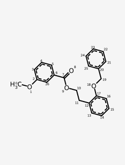 COc1cccc(C(=O)OCCc2ccccc2OCc2ccccc2)c1